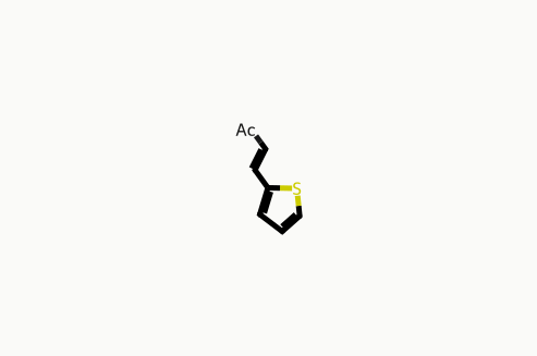 CC(=O)/C=C/c1cccs1